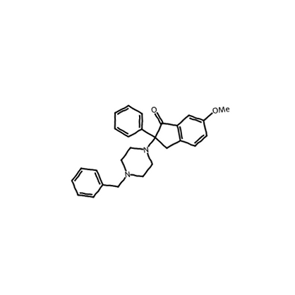 COc1ccc2c(c1)C(=O)C(c1ccccc1)(N1CCN(Cc3ccccc3)CC1)C2